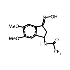 COc1cc2c(cc1OC)[C@H](NC(=O)C(F)(F)F)C/C2=N\O